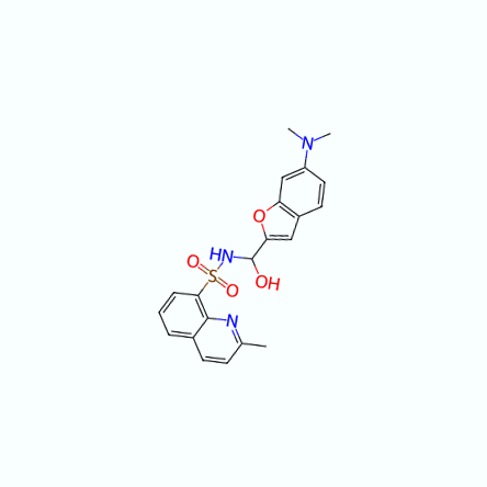 Cc1ccc2cccc(S(=O)(=O)NC(O)c3cc4ccc(N(C)C)cc4o3)c2n1